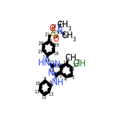 Cc1cccc2c(Nc3ccccc3)nc(Nc3ccc(CS(=O)(=O)N(C)C)cc3)nc12.Cl